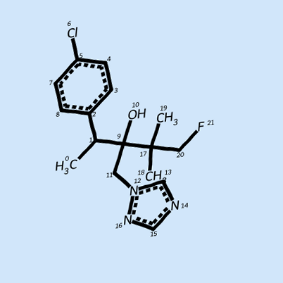 CC(c1ccc(Cl)cc1)C(O)(Cn1cncn1)C(C)(C)CF